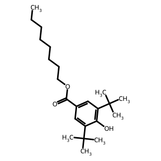 CCCCCCCCOC(=O)c1cc(C(C)(C)C)c(O)c(C(C)(C)C)c1